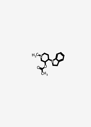 CC(=O)OC1CN(C)CCC1N1CCc2ccccc21